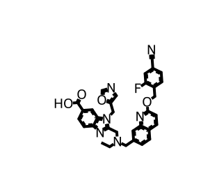 CCN(Cc1ccc2ccc(OCc3ccc(C#N)cc3F)nc2c1)Cc1nc2ccc(C(=O)O)cc2n1Cc1cnco1